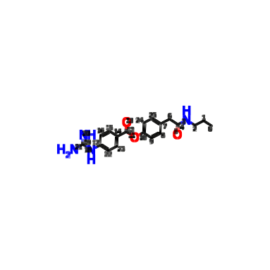 CCCNC(=O)Cc1ccc(OC(=O)c2ccc(NC(=N)N)cc2)cc1